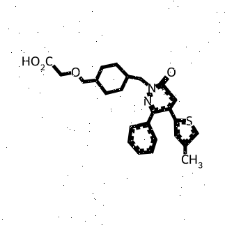 Cc1csc(-c2cc(=O)n(CC3CCC(COCC(=O)O)CC3)nc2-c2ccccc2)c1